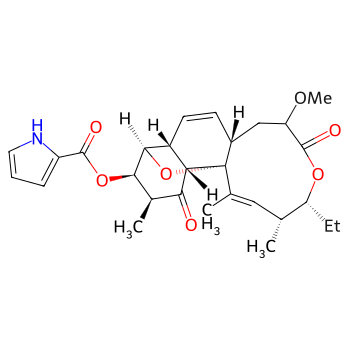 CC[C@H]1OC(=O)C(OC)C[C@H]2C=C[C@H]3[C@H]4O[C@]2(/C(C)=C/[C@H]1C)[C@@H]3C(=O)[C@@H](C)[C@H]4OC(=O)c1ccc[nH]1